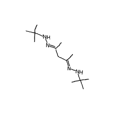 C/C(C/C(C)=N/NC(C)(C)C)=N\NC(C)(C)C